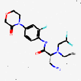 CC(C)(C)CN(CC(F)F)[C@H](CN)C(=O)Nc1ccc(N2CCOCC2=O)cc1F